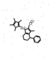 CC1=C(C)C(C)[C]([Zr+2][CH]2C(C)=C(C)C3=C2CCCC3c2ccccc2)=C1C.[Cl-].[Cl-]